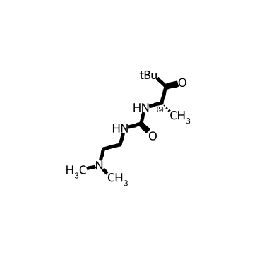 C[C@H](NC(=O)NCCN(C)C)C(=O)C(C)(C)C